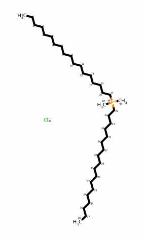 CCCCCCCCCCCCCCCCCC[P+](C)(C)CCCCCCCCCCCCCCCCCC.[Cl-]